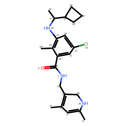 CC1=CC(C)=C(CNC(=O)c2cc(Cl)cc(NC(C)C3CCC3)c2C)CN1